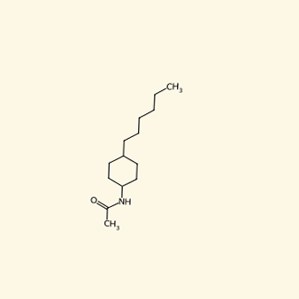 CCCCCCC1CCC(NC(C)=O)CC1